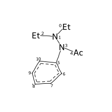 CCN(CC)N(C(C)=O)c1cc[c]cc1